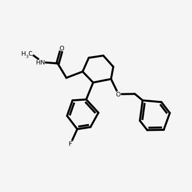 CNC(=O)CC1CCCC(OCc2ccccc2)C1c1ccc(F)cc1